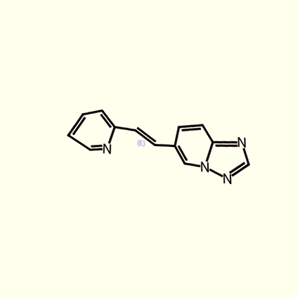 C(=C\c1ccccn1)/c1ccc2ncnn2c1